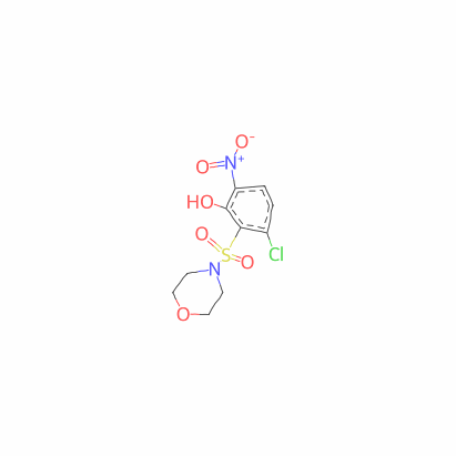 O=[N+]([O-])c1ccc(Cl)c(S(=O)(=O)N2CCOCC2)c1O